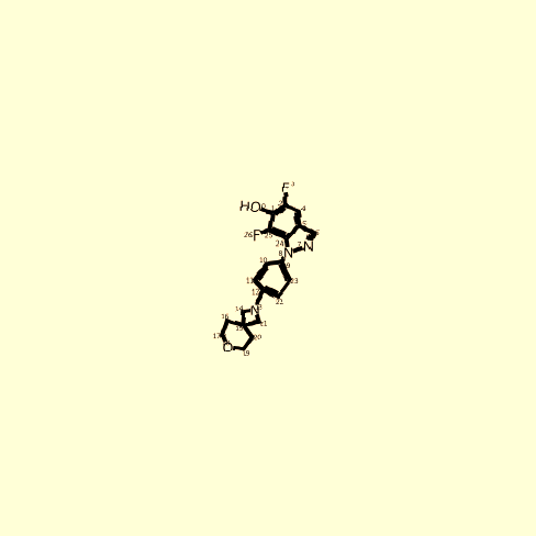 Oc1c(F)cc2cnn(-c3ccc(N4CC5(CCOCC5)C4)cc3)c2c1F